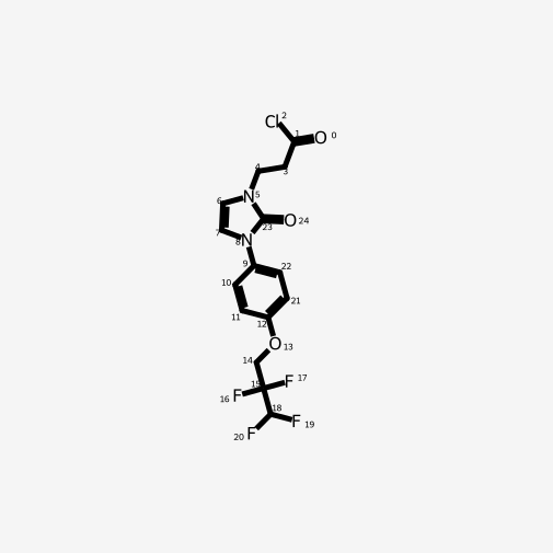 O=C(Cl)CCn1ccn(-c2ccc(OCC(F)(F)C(F)F)cc2)c1=O